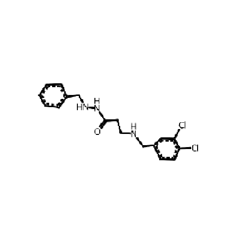 O=C(CCNCc1ccc(Cl)c(Cl)c1)NNCc1ccccc1